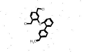 C=Cc1ccc(-c2ccccc2Oc2cc(CCl)ccc2CCl)cc1